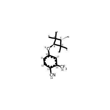 CC1(C)[C@H](C)C(C)(C)[C@H]1Oc1ccc(C#N)c(C(F)(F)F)c1